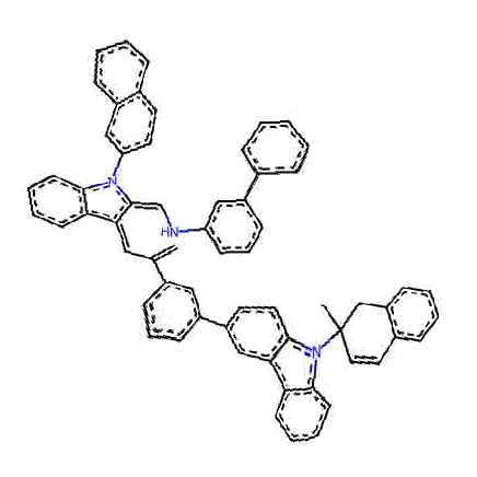 C=C(/C=c1\c(=C/Nc2cccc(-c3ccccc3)c2)n(-c2ccc3ccccc3c2)c2ccccc12)c1cccc(-c2ccc3c(c2)c2ccccc2n3C2(C)C=Cc3ccccc3C2)c1